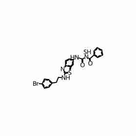 O=C(Nc1ccc2nc(NCCc3ccc(Br)cc3)sc2c1)N(S)C(=O)c1ccccc1